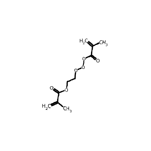 C=C(C)C(=O)OCCOOOC(=O)C(=C)C